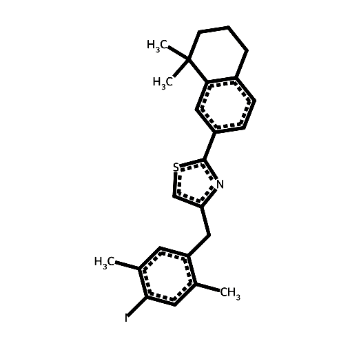 Cc1cc(Cc2csc(-c3ccc4c(c3)C(C)(C)CCC4)n2)c(C)cc1I